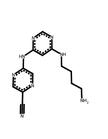 N#Cc1cnc(Nc2cc(NCCCCN)ncn2)cn1